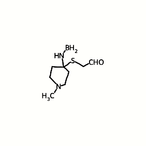 BNC1(SCC=O)CCN(C)CC1